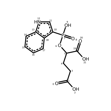 O=C(O)CCC(OP(=O)(O)c1c[nH]c2ccccc12)C(=O)O